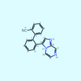 N#Cc1ccccc1-c1ccccc1-c1cnc2cnccn12